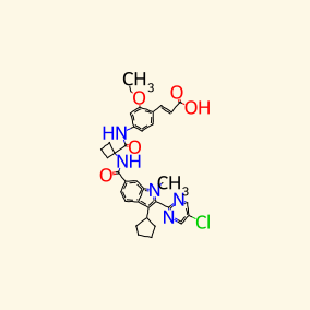 CCOc1cc(NC(=O)C2(NC(=O)c3ccc4c(C5CCCC5)c(-c5ncc(Cl)cn5)n(C)c4c3)CCC2)ccc1C=CC(=O)O